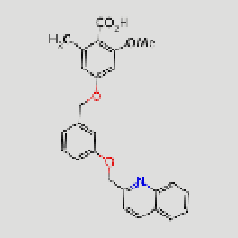 COc1cc(OCc2cccc(OCc3ccc4ccccc4n3)c2)cc(C)c1C(=O)O